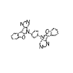 c1ccc2c(c1)oc1c2c2ncncc2n1-c1ccc(-n2c3cncnc3c3c4ccccc4oc32)cc1